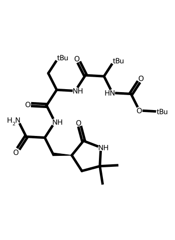 CC(C)(C)CC(NC(=O)C(NC(=O)OC(C)(C)C)C(C)(C)C)C(=O)NC(C[C@@H]1CC(C)(C)NC1=O)C(N)=O